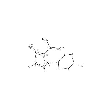 Cc1nn([C@H]2CC[C@@H](C)CC2)c(C(N)=O)c1N